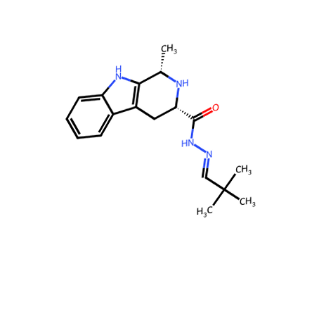 C[C@@H]1N[C@H](C(=O)N/N=C/C(C)(C)C)Cc2c1[nH]c1ccccc21